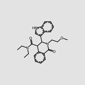 CCN(CC)C(=O)C1c2ccccc2C(=O)N(CCOC)C1c1c[nH]c2ccccc12